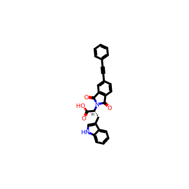 O=C(O)[C@@H](Cc1c[nH]c2ccccc12)N1C(=O)c2ccc(C#Cc3ccccc3)cc2C1=O